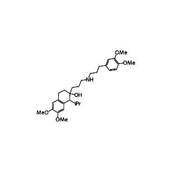 COc1ccc(CCCNCCCC2(O)CCc3cc(OC)c(OC)cc3C2C(C)C)cc1OC